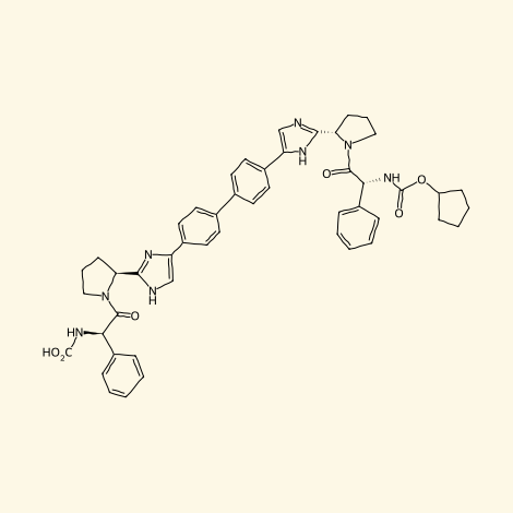 O=C(O)N[C@@H](C(=O)N1CCC[C@H]1c1nc(-c2ccc(-c3ccc(-c4cnc([C@@H]5CCCN5C(=O)[C@H](NC(=O)OC5CCCC5)c5ccccc5)[nH]4)cc3)cc2)c[nH]1)c1ccccc1